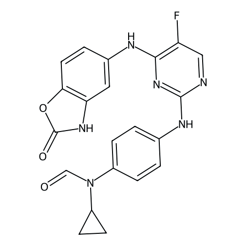 O=CN(c1ccc(Nc2ncc(F)c(Nc3ccc4oc(=O)[nH]c4c3)n2)cc1)C1CC1